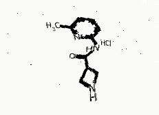 Cc1cccc(NC(=O)C2CNC2)n1.Cl